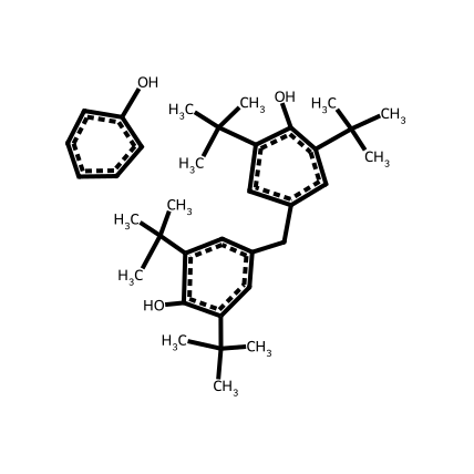 CC(C)(C)c1cc(Cc2cc(C(C)(C)C)c(O)c(C(C)(C)C)c2)cc(C(C)(C)C)c1O.Oc1ccccc1